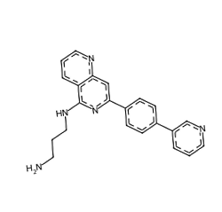 NCCCNc1nc(-c2ccc(-c3cccnc3)cc2)cc2ncccc12